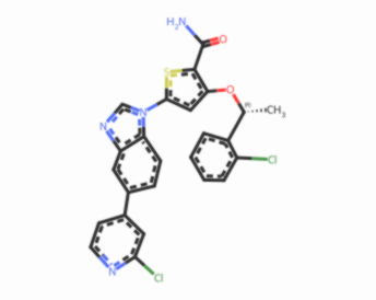 C[C@@H](Oc1cc(-n2cnc3cc(-c4ccnc(Cl)c4)ccc32)sc1C(N)=O)c1ccccc1Cl